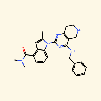 Cc1cc2c(C(=O)N(C)C)cccc2n1-c1nc2c(c(NCc3ccccc3)n1)CNCC2